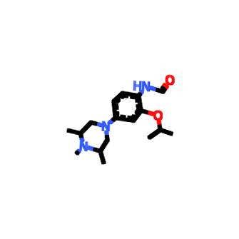 CC(C)Oc1cc(N2CC(C)N(C)C(C)C2)ccc1NC=O